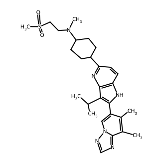 Cc1c(-c2[nH]c3ccc(C4CCC(N(C)CCS(C)(=O)=O)CC4)nc3c2C(C)C)cn2ncnc2c1C